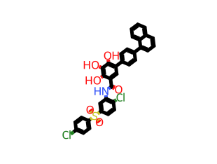 O=C(Nc1cc(S(=O)(=O)c2ccc(Cl)cc2)ccc1Cl)c1cc(-c2ccc(-c3cccc4ccccc34)cc2)c(O)c(O)c1O